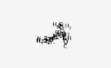 CN(C)C(=O)[C@H]1CC[C@H](NC(=O)c2cc3cc(Cl)ccc3[nH]2)[C@H](NC(=O)c2ncc3c(n2)CN(C(=O)OC(C)(C)C)C3)C1